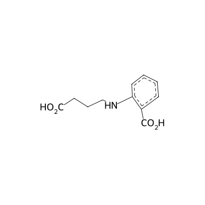 O=C(O)CCCNc1ccccc1C(=O)O